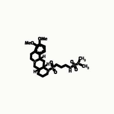 COc1ccc2c(c1OC)CCN1C[C@H]3CCCN(S(=O)(=O)CCCNS(=O)(=O)N(C)C)[C@H]3C[C@@H]21